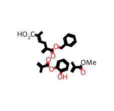 C=C(C)C(=O)OC.C=C(C)C(=O)Oc1ccccc1O.C=C(CC=C(C)C(=O)O)C(=O)OCc1ccccc1